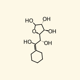 OC(=C1CCCCC1)[C@@H](O)[C@H]1OC(O)[C@H](O)[C@H]1O